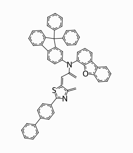 C=C(/C=c1/sc(-c2ccc(-c3ccccc3)cc2)nc1=C)N(c1ccc2c(c1)C(c1ccccc1)(c1ccccc1)c1ccccc1-2)c1cccc2c1oc1ccccc12